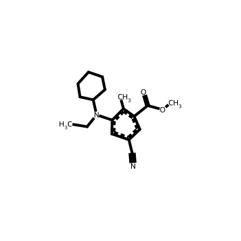 CCN(c1cc(C#N)cc(C(=O)OC)c1C)C1CCCCC1